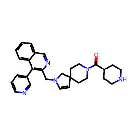 O=C(C1CCNCC1)N1CCC2(C=CN(Cc3ncc4ccccc4c3-c3cccnc3)C2)CC1